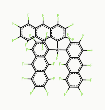 Fc1c(F)c(F)c2c(F)c3[c]([Al-]([F])([c]4c(F)c(F)c(F)c5c(F)c6c(F)c(F)c(F)c(F)c6c(F)c45)[c]4c(F)c(F)c(F)c5c(F)c6c(F)c(F)c(F)c(F)c6c(F)c45)c(F)c(F)c(F)c3c(F)c2c1F